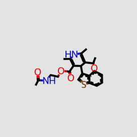 CC(=O)NCCOC(=O)C1=C(C)NC(C)=C(C(C)=O)C1c1csc2ccccc12